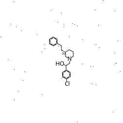 OC(CN1CCC[C@H](CCc2ccccc2)C1)c1ccc(Cl)cc1